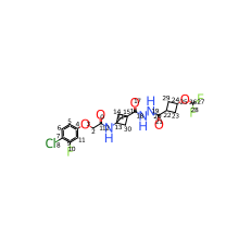 O=C(COc1ccc(Cl)c(F)c1)NC12CC(C(=O)NNC(=O)C3CC(OC(F)F)C3)(C1)C2